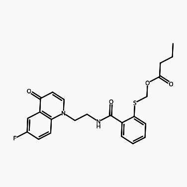 CCCC(=O)OCSc1ccccc1C(=O)NCCn1ccc(=O)c2cc(F)ccc21